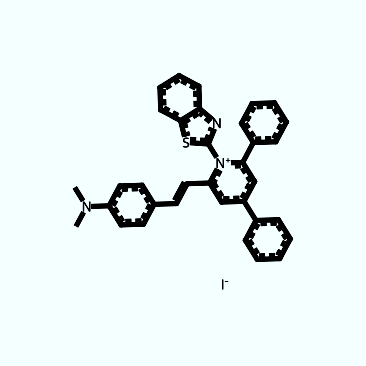 CN(C)c1ccc(C=Cc2cc(-c3ccccc3)cc(-c3ccccc3)[n+]2-c2nc3ccccc3s2)cc1.[I-]